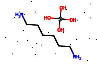 NCCCCCCN.O[Si](O)(O)O